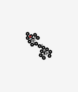 c1ccc([Si](c2ccccc2)(c2ccc3sc4cc(-c5ccc6c(c5)c5ccccc5n6-c5nc(-n6c7ccccc7c7ccccc76)cc([Si](c6ccccc6)(c6ccccc6)c6cccc7c6sc6ccccc67)n5)ccc4c3c2)c2cc(-n3c4ccccc4c4ccccc43)nc(-n3c4ccccc4c4ccccc43)n2)cc1